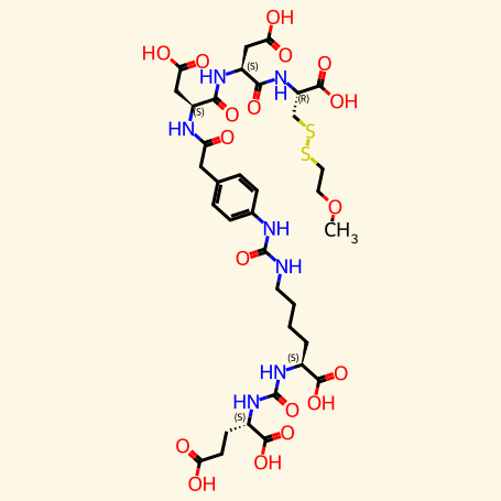 COCCSSC[C@H](NC(=O)[C@H](CC(=O)O)NC(=O)[C@H](CC(=O)O)NC(=O)Cc1ccc(NC(=O)NCCCC[C@H](NC(=O)N[C@@H](CCC(=O)O)C(=O)O)C(=O)O)cc1)C(=O)O